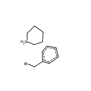 BrCc1ccccc1.C1CC[SiH2]CC1